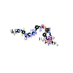 CC(C)C[C@H](NC(=O)[C@@H](O)[C@H](C)Cc1ccccc1)C(=O)NCCCN1C[C@H]2C[C@@H](OCC(=O)NCc3cccc(CNc4cc(N5CCC6(CC5)CN(c5cc(F)c(CN7CCC(C)(C)CC7)cc5F)CC(=O)N6)ncn4)c3)C[C@H]2C1